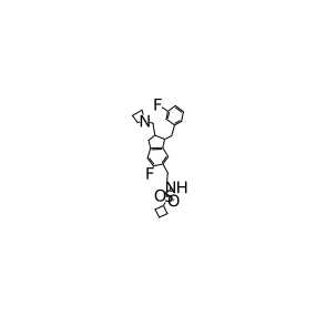 O=S(=O)(NCCc1cc2c(cc1F)CC(CN1CCC1)C2Cc1cccc(F)c1)C1CCC1